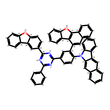 c1ccc(-c2nc(-c3ccc(-n4c5ccccc5c5cc6ccccc6cc54)c(-c4cc5ccccc5c5oc6ccccc6c45)c3)nc(-c3ccc4oc5ccccc5c4c3)n2)cc1